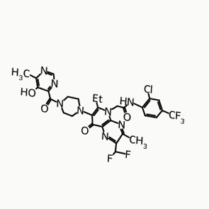 CCc1c(N2CCN(C(=O)c3ncnc(C)c3O)CC2)c(=O)c2nc(C(F)F)c(C)nc2n1CC(=O)Nc1ccc(C(F)(F)F)cc1Cl